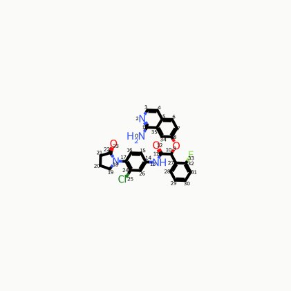 Nc1nccc2ccc(OC(C(=O)Nc3ccc(N4CCCC4=O)c(Cl)c3)c3ccccc3F)cc12